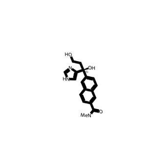 CNC(=O)c1ccc2cc([C@@](O)(CCO)c3c[nH]cn3)ccc2c1